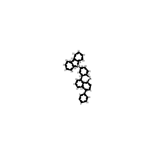 c1ccc(-c2ccc3c4c(cccc24)-c2cc(-n4c5ccccc5c5ccccc54)ccc2S3)cc1